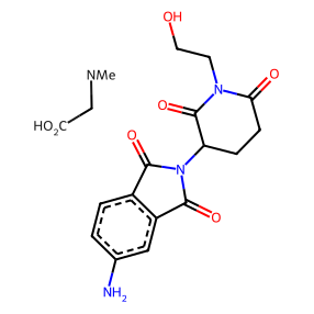 CNCC(=O)O.Nc1ccc2c(c1)C(=O)N(C1CCC(=O)N(CCO)C1=O)C2=O